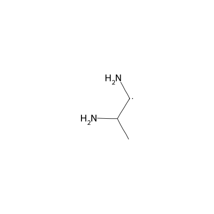 CC(N)[CH]N